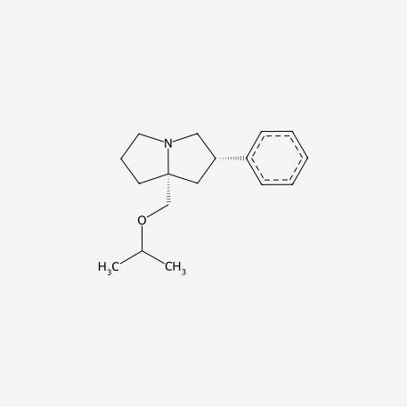 CC(C)OC[C@]12CCCN1C[C@H](c1ccccc1)C2